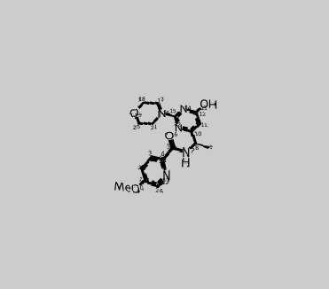 COc1ccc(C(=O)N[C@H](C)c2cc(O)nc(N3CCOCC3)n2)nc1